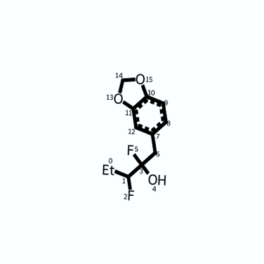 CCC(F)C(O)(F)Cc1ccc2c(c1)OCO2